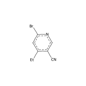 CCc1cc(Br)ncc1C#N